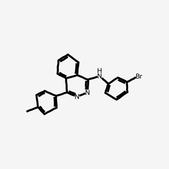 Cc1ccc(-c2nnc(Nc3cccc(Br)c3)c3ccccc23)cc1